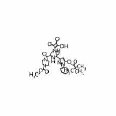 CCOC(=O)N1CCN(C(=O)C(CNc2c(O)c(=O)c2=O)NC(=O)c2cc(OCC(=O)C(C)(C)C)n(-c3ccccc3)n2)CC1